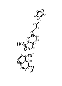 COc1ccc2nccc([C@H](F)CC[C@@H]3CCN(CCCCc4ccoc4)C[C@@H]3C(=O)O)c2c1